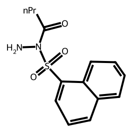 CCCC(=O)N(N)S(=O)(=O)c1cccc2ccccc12